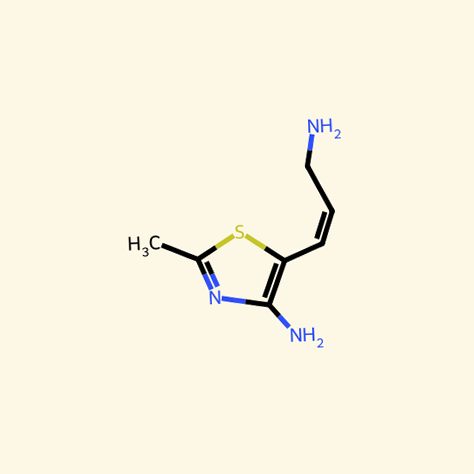 Cc1nc(N)c(/C=C\CN)s1